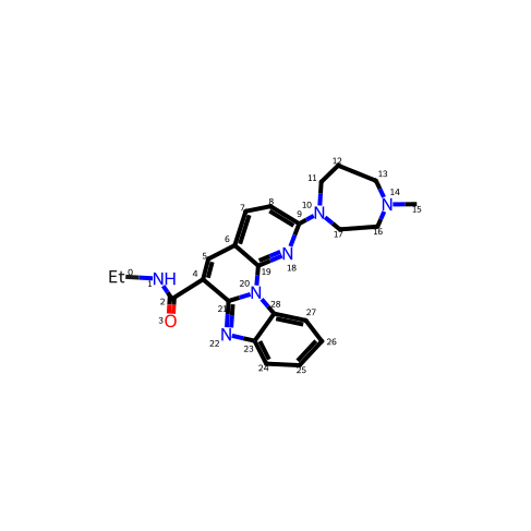 CCNC(=O)c1cc2ccc(N3CCCN(C)CC3)nc2n2c1nc1ccccc12